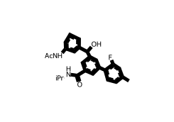 CC(=O)Nc1cccc(C(O)c2cc(C(=O)NC(C)C)cc(-c3ccc(C)cc3F)c2)c1